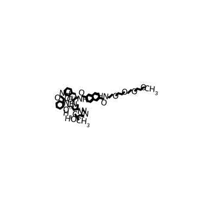 COCCOCCOCCOCCNC(=O)c1ccc2cc(C(=O)N[C@H](CC3CCCCC3)C(=O)N3C[C@@H](n4nncc4C(C)(C)O)C[C@H]3C(=O)NC3(C(=O)C(N)=O)CCCCC3)ccc2c1